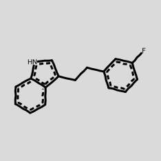 Fc1cccc(CCc2c[nH]c3ccccc23)c1